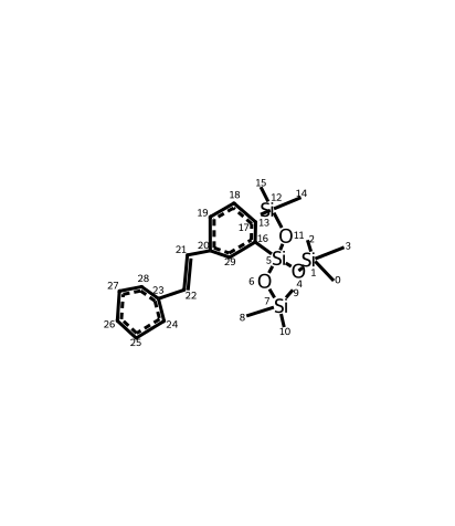 C[Si](C)(C)O[Si](O[Si](C)(C)C)(O[Si](C)(C)C)c1cccc(C=Cc2ccccc2)c1